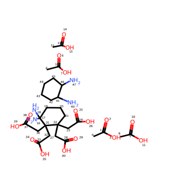 CC(=O)O.CC(=O)O.CC(=O)O.CC(=O)O.NC1(N)CCCC(CC(=O)O)(CC(=O)O)C1(CC(=O)O)CC(=O)O.NC1CCCCC1N